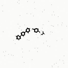 CCCCCC1COC(c2ccc(C(F)(F)Oc3ccc(-c4ccc(-c5cc(F)c(F)c(F)c5)c(F)c4)c(F)c3)cc2)OC1